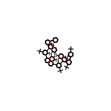 Cc1cc2c3c(c1)N(c1c(-c4ccccc4)cc(C(C)(C)C)cc1-c1ccccc1)c1cc(-n4c5cc(C(C)(C)C)ccc5c5ccc(C(C)(C)C)cc54)ccc1B3c1ccc(-n3c4ccccc4c4ccccc43)cc1N2c1c(-c2ccccc2)cc(C(C)(C)C)cc1-c1ccccc1